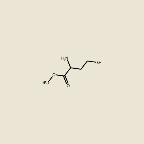 CC(C)(C)OC(=O)C(N)CCS